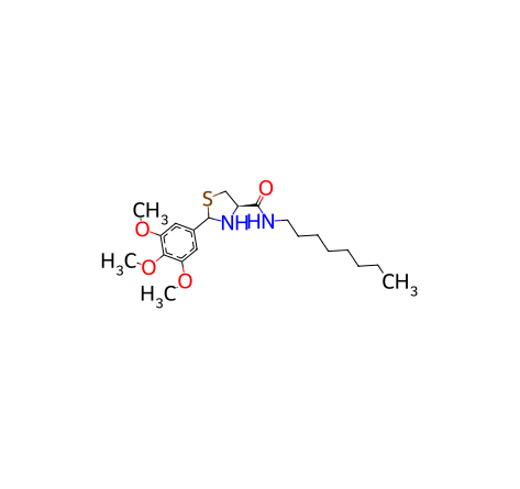 CCCCCCCCNC(=O)[C@@H]1CSC(c2cc(OC)c(OC)c(OC)c2)N1